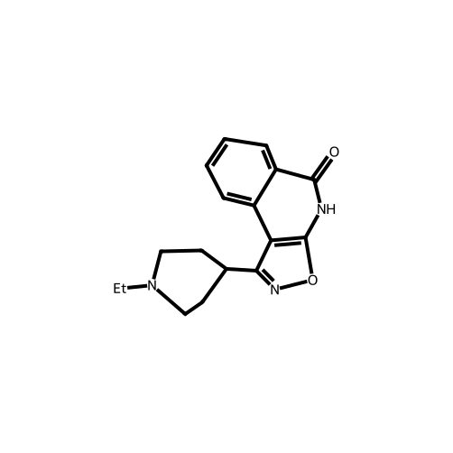 CCN1CCC(c2noc3[nH]c(=O)c4ccccc4c23)CC1